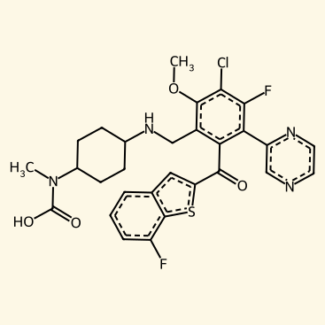 COc1c(Cl)c(F)c(-c2cnccn2)c(C(=O)c2cc3cccc(F)c3s2)c1CNC1CCC(N(C)C(=O)O)CC1